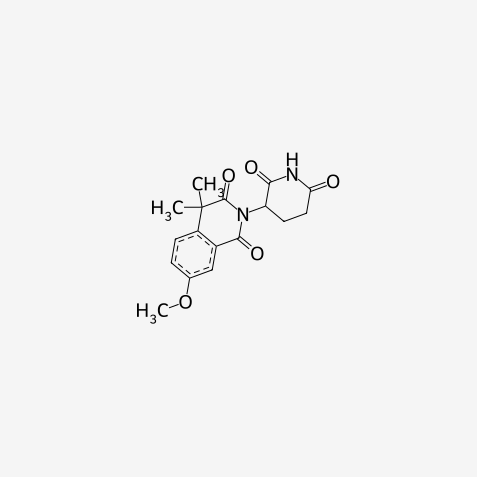 COc1ccc2c(c1)C(=O)N(C1CCC(=O)NC1=O)C(=O)C2(C)C